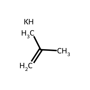 C=C(C)C.[KH]